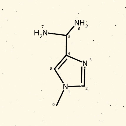 Cn1cnc(C(N)N)c1